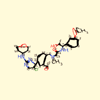 COc1cccc(C(CO)NC(=O)CN(C)Cc2ccc(-c3nc(NC4CCOCC4)ncc3Cl)cc2C=O)c1